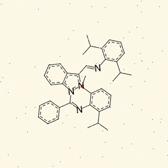 CCc1cccc(C(C)C)c1/N=C(/c1ccccc1)n1nc(/C=N/c2c(C(C)C)cccc2C(C)C)c2ccccc21